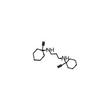 C#CC1(NCCCNC2(C#C)CCCCC2)CCCCC1